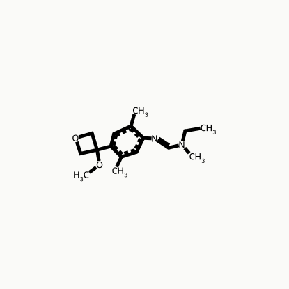 CCN(C)C=Nc1cc(C)c(C2(OC)COC2)cc1C